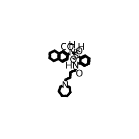 O=C(CCCN1CCCCCC1)Nc1ccccc1S(=O)(=O)Nc1ccc2c(c1C(=O)O)CCCC2